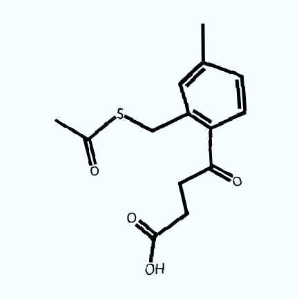 CC(=O)SCc1cc(C)ccc1C(=O)CCC(=O)O